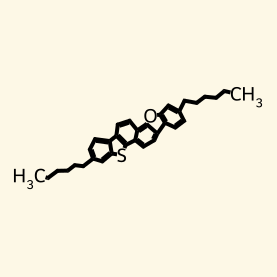 CCCCCCc1ccc2c(c1)oc1c2ccc2c1ccc1c3ccc(CCCCCC)cc3sc12